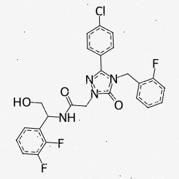 O=C(Cn1nc(-c2ccc(Cl)cc2)n(Cc2ccccc2F)c1=O)NC(CO)c1cccc(F)c1F